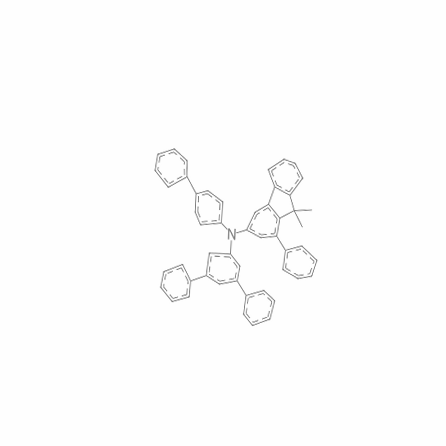 CC1(C)c2ccccc2-c2cc(N(c3ccc(-c4ccccc4)cc3)c3cc(-c4ccccc4)cc(-c4ccccc4)c3)cc(-c3ccccc3)c21